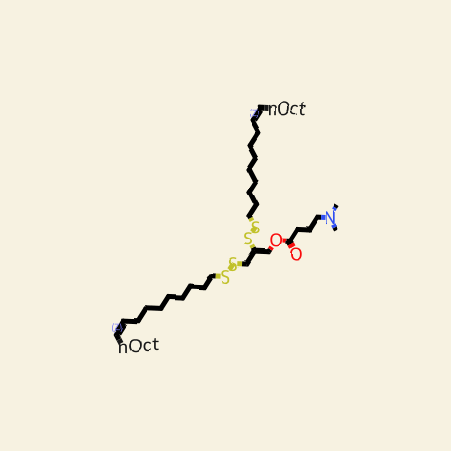 CCCCCCCC/C=C\CCCCCCCCSSCC(COC(=O)CCCN(C)C)SSCCCCCCCC/C=C\CCCCCCCC